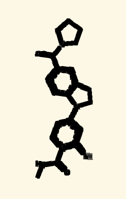 CNC(=O)n1ccc(N2CCc3cc(C(=O)N4CCCC4)ccc32)cc1=N